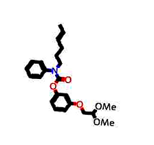 CC=CCCCN(C(=O)Oc1cccc(OCC(OC)OC)c1)c1ccccc1